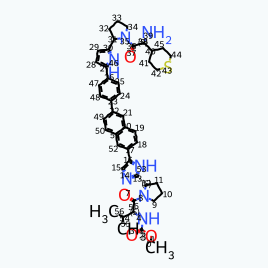 COC(=O)N[C@H](C(=O)N1CCC[C@H]1c1ncc(-c2ccc3cc(-c4ccc(-c5ccc(C6CCCN6C(=O)[C@@H](N)C6CCSCC6)[nH]5)cc4)ccc3c2)[nH]1)C(C)C